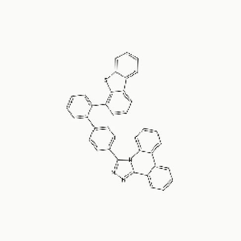 c1ccc(-c2cccc3c2sc2ccccc23)c(-c2ccc(-c3nnc4c5ccccc5c5ccccc5n34)cc2)c1